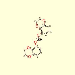 B(Oc1cccc2c1OCCO2)Oc1cccc2c1OCCO2